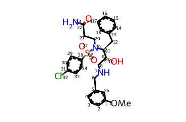 COc1cccc(CNC[C@@H](O)[C@H](Cc2ccccc2)N(CCC(N)=O)S(=O)(=O)c2ccc(Cl)cc2)c1